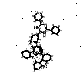 C1=CC2c3ccccc3N(c3cccc4oc5cccc(-c6ccc7oc8ccc(C9NC(c%10ccccc%10)=NC(c%10ccccc%10)N9)cc8c7c6)c5c34)C2C=C1